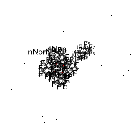 CCCCCCCCC[NH2+]CCCCCCCCC.Fc1c(F)c2c(F)c(F)c3c(F)c(F)c([B-](c4c(F)c(F)c5c(F)c(F)c6c(F)c(F)c(F)c7c(F)c(F)c4c5c67)(c4c(F)c(F)c5c(F)c(F)c6c(F)c(F)c(F)c7c(F)c(F)c4c5c67)c4c(F)c(F)c5c(F)c(F)c6c(F)c(F)c(F)c7c(F)c(F)c4c5c67)c4c(F)c(F)c(c1F)c2c34.Fc1ccccc1-c1c(F)c(F)c(F)c(F)c1F